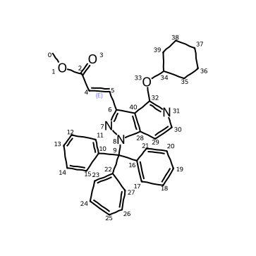 COC(=O)/C=C/c1nn(C(c2ccccc2)(c2ccccc2)c2ccccc2)c2ccnc(OC3CCCCC3)c12